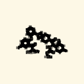 CC1CC[C@@H]([C@H](NC(=O)OC(C)(C)C)C(=O)N2CCC3(CC2)CN(c2ncncc2Oc2ccc(F)cc2C(=O)N(C(C)C)C(C)C)C3)C(=O)C1